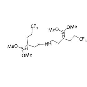 CO[SiH](OC)C(CCNCCC(CCC(F)(F)F)[SiH](OC)OC)CCC(F)(F)F